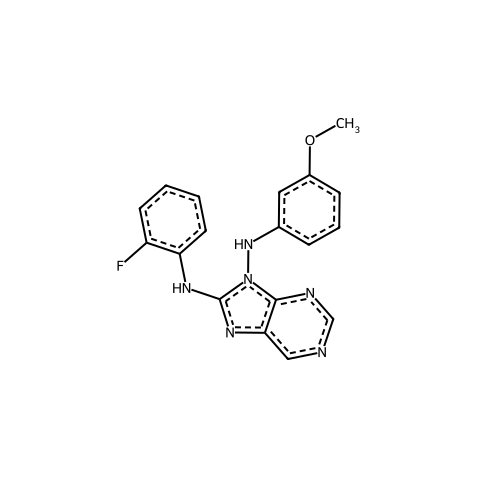 COc1cccc(Nn2c(Nc3ccccc3F)nc3cncnc32)c1